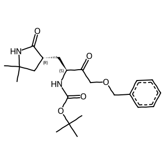 CC1(C)C[C@@H](C[C@H](NC(=O)OC(C)(C)C)C(=O)COCc2ccccc2)C(=O)N1